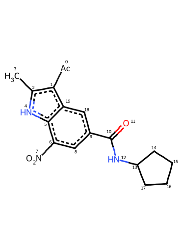 CC(=O)c1c(C)[nH]c2c([N+](=O)[O-])cc(C(=O)NC3CCCC3)cc12